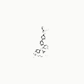 COCCCN1C(=O)COc2ccc(N(C(=O)[C@H]3CNCC[C@@H]3c3cccc(-c4ccc(OCC(O)CC(=O)O)cc4)c3)C3CC3)cc21